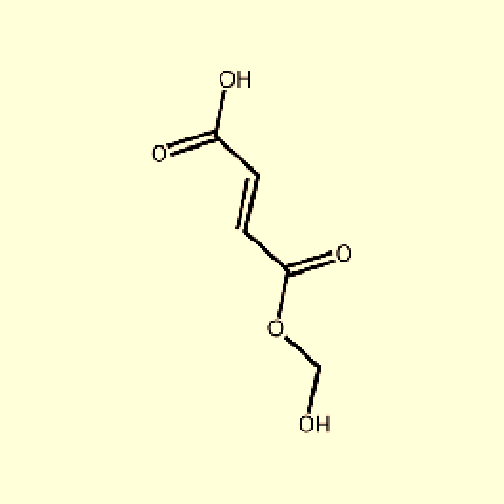 O=C(O)/C=C/C(=O)OCO